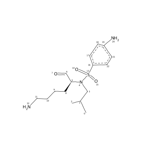 CC(C)CN([C@H](C=O)CCCCN)S(=O)(=O)c1ccc(N)cc1